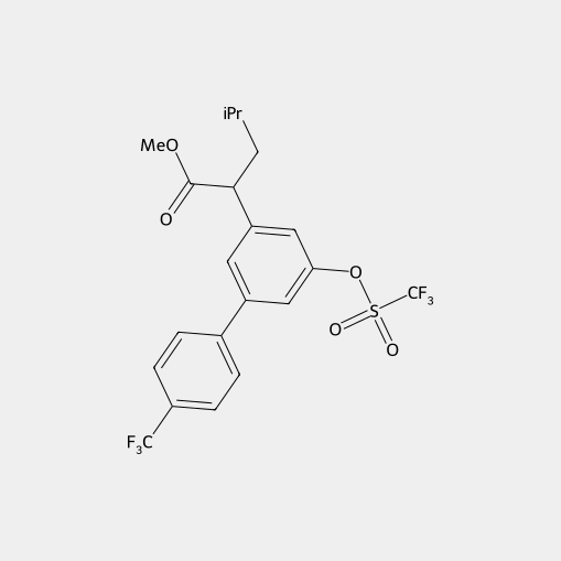 COC(=O)C(CC(C)C)c1cc(OS(=O)(=O)C(F)(F)F)cc(-c2ccc(C(F)(F)F)cc2)c1